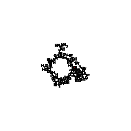 CC[C@H](C)C1NC(=O)[C@@H](CCCNC(=N)N)NC(=O)[C@H](CC(C)C)NC(=O)[C@H]([C@H](O)C(C)C)NC(=O)[C@@H](NC(=O)[C@H](CC(C)C)NC(=O)C2(NC(=O)OC(C)(C)C)CCOCC2)[C@@H](c2ccccc2)OC(=O)[C@H](CO)NC(=O)[C@H]([C@H](O)C(N)=O)NC(=O)CNC(=O)C([C@H](C)O)NC1=O